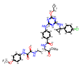 COC(=O)[C@H](CCNC(=O)C(=O)Nc1ccc(OC(F)(F)F)cc1)NC(=O)c1ccc(Nc2nc(NC3(c4ccc(Cl)cc4)CC3)nc(OCC(F)(F)F)n2)cc1